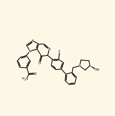 NC(=O)c1cccc(-n2cnc3c2C(=O)C(c2ccc(-c4ccccc4CN4CC[C@@H](O)C4)cc2F)N=C3)c1